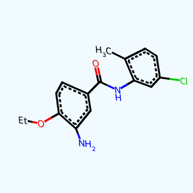 CCOc1ccc(C(=O)Nc2cc(Cl)ccc2C)cc1N